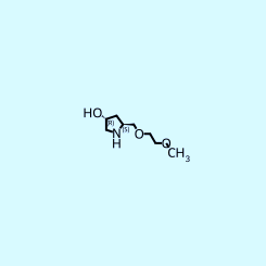 COCCOC[C@@H]1C[C@@H](O)CN1